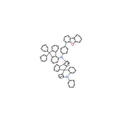 c1ccc(N2c3ccccc3C3(c4ccccc4-c4c(N(c5ccc(-c6cccc7c6oc6ccccc67)cc5)c5cccc6c5-c5ccccc5C6(c5ccccc5)c5ccccc5)cccc43)c3ccccc32)cc1